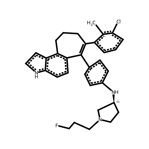 Cc1c(Cl)cccc1C1=C(c2ccc(N[C@H]3CCN(CCCF)C3)cc2)c2ccc3[nH]ccc3c2CCC1